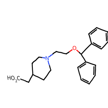 O=C(O)CC1CCN(CCOC(c2ccccc2)c2ccccc2)CC1